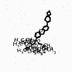 C[Si](C)(C)OCCOC(O)(c1ccc(Cl)c(Cc2ccc(C3CCC4(CCC4)CC3)cc2)c1)[C@H](O[Si](C)(C)C)[C@@H](O[Si](C)(C)C)[C@@H](I)O[Si](C)(C)C